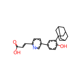 O=C(O)/C=C/c1ccc(-c2ccc(O)c(C34CC5CC(CC(C5)C3)C4)c2)cn1